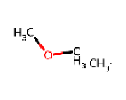 COC.[CH3]